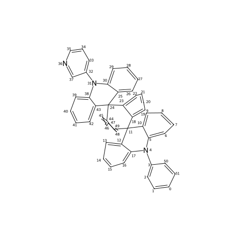 c1ccc(N2c3ccccc3C3(c4ccccc42)c2ccccc2C2(c4ccccc4N(c4cccnc4)c4ccccc42)c2ccccc23)cc1